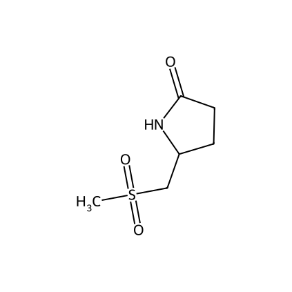 CS(=O)(=O)CC1CCC(=O)N1